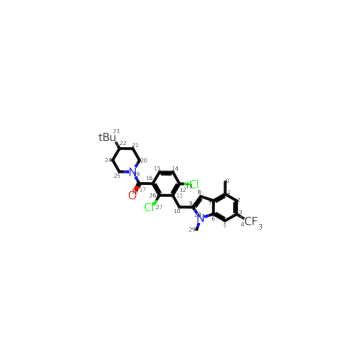 Cc1cc(C(F)(F)F)cc2c1cc(Cc1c(Cl)ccc(C(=O)N3CCC(C(C)(C)C)CC3)c1Cl)n2C